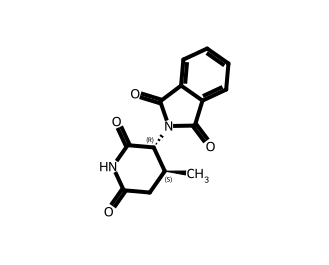 C[C@H]1CC(=O)NC(=O)[C@@H]1N1C(=O)c2ccccc2C1=O